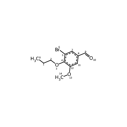 CCCOc1c(Br)cc(C=O)cc1OC